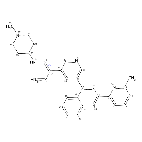 Cc1cccc(-c2cc(-c3cncc(/C(C=N)=C/NC4CCN(C)CC4)c3)c3cccnc3n2)n1